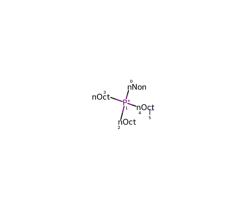 CCCCCCCCC[P+](CCCCCCCC)(CCCCCCCC)CCCCCCCC.[I-]